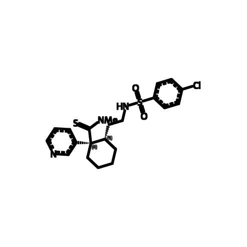 CNC(=S)[C@]1(c2cccnc2)CCCC[C@H]1CCNS(=O)(=O)c1ccc(Cl)cc1